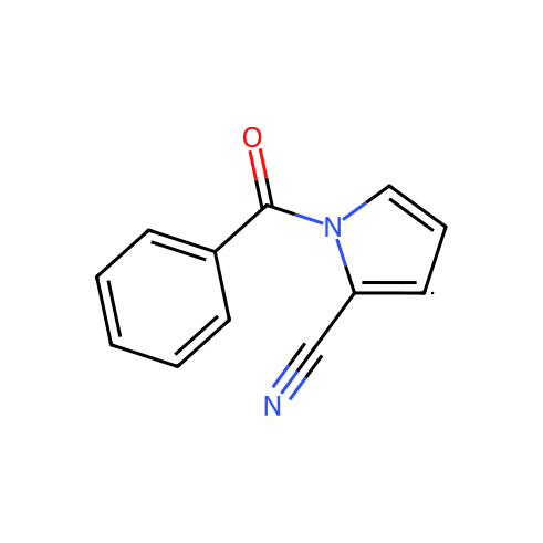 N#Cc1[c]ccn1C(=O)c1ccccc1